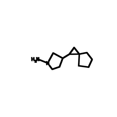 NN1CCC(C2CC23CCCC3)C1